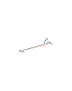 CCCCCCCCCCCCOC(CC)CC#N